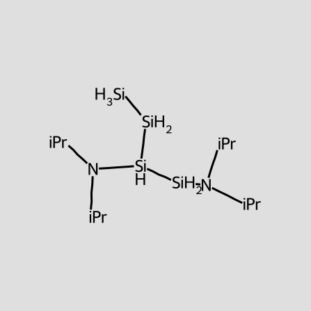 CC(C)N([SiH2][SiH]([SiH2][SiH3])N(C(C)C)C(C)C)C(C)C